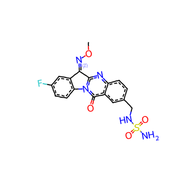 CO/N=C1/c2cc(F)ccc2-n2c1nc1ccc(CNS(N)(=O)=O)cc1c2=O